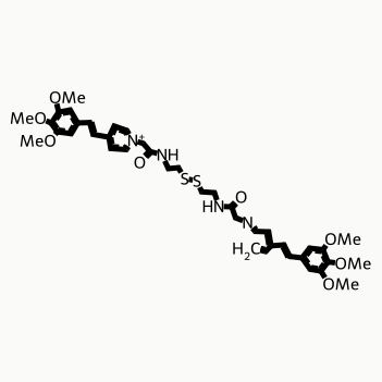 C=CC(/C=C/c1cc(OC)c(OC)c(OC)c1)=C\C=N\CC(=O)NCCSSCCNC(=O)C[n+]1ccc(/C=C/c2cc(OC)c(OC)c(OC)c2)cc1